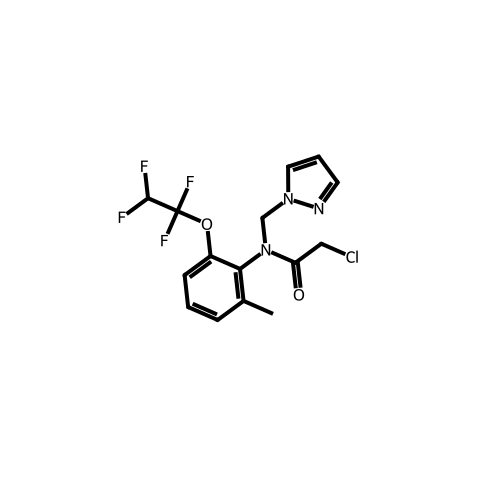 Cc1cccc(OC(F)(F)C(F)F)c1N(Cn1cccn1)C(=O)CCl